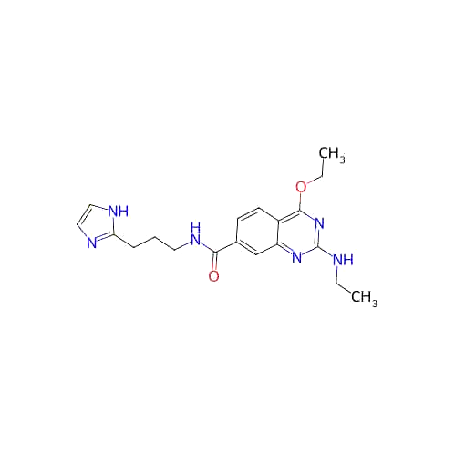 CCNc1nc(OCC)c2ccc(C(=O)NCCCc3ncc[nH]3)cc2n1